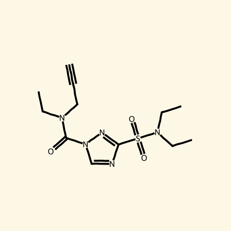 C#CCN(CC)C(=O)n1cnc(S(=O)(=O)N(CC)CC)n1